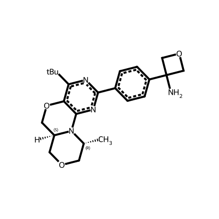 C[C@@H]1COC[C@H]2COc3c(nc(-c4ccc(C5(N)COC5)cc4)nc3C(C)(C)C)N21